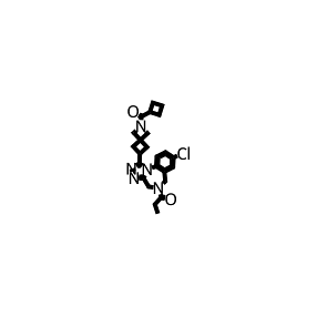 CCC(=O)N1Cc2cc(Cl)ccc2-n2c(nnc2C2CC3(C2)CN(C(=O)C2CCC2)C3)C1